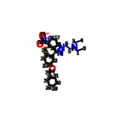 CCN(CC)CCn1nc2c3c(c([N+](=O)[O-])ccc31)Sc1ccc(OCc3ccccc3)cc1-2